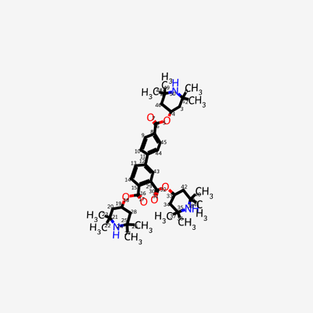 CC1(C)CC(OC(=O)c2ccc(-c3ccc(C(=O)OC4CC(C)(C)NC(C)(C)C4)c(C(=O)OC4CC(C)(C)NC(C)(C)C4)c3)cc2)CC(C)(C)N1